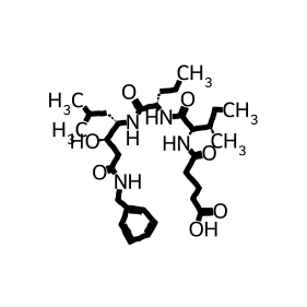 CCC[C@H](NC(=O)[C@@H](NC(=O)CCCC(=O)O)[C@@H](C)CC)C(=O)N[C@@H](CC(C)C)[C@@H](O)CC(=O)NCc1ccccc1